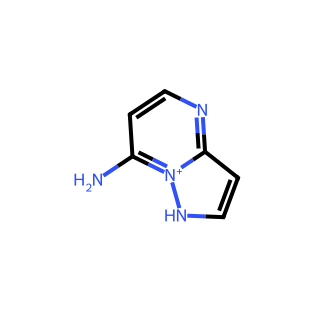 Nc1ccnc2cc[nH][n+]12